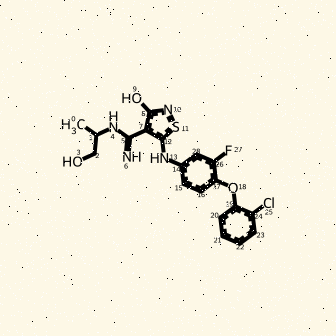 CC(CO)NC(=N)c1c(O)nsc1Nc1ccc(Oc2ccccc2Cl)c(F)c1